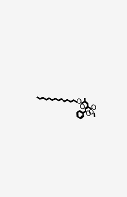 CCCCCCCCCCCCCCOC(=O)C(C)=CC(=CC(=O)c1ccccc1)C(=O)OCC